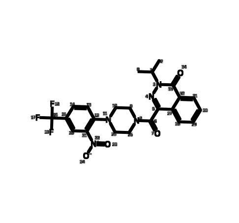 CC(C)n1nc(C(=O)N2CCN(c3ccc(C(F)(F)F)cc3[N+](=O)[O-])CC2)c2ccccc2c1=O